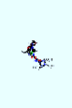 COc1cc2c(cc1-c1cncc(NC(=O)CCOCCNC(=O)CN3CCN(CC(=O)O)CCN(CC(=O)O)CCN(CC(=O)O)CC3)c1)-c1c(c(C(=O)N3CCOCC3(C)C)nn1-c1cc(Cl)cc(Cl)c1)CO2